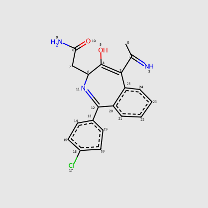 CC(=N)C1=C(O)C(CC(N)=O)N=C(c2ccc(Cl)cc2)c2ccccc21